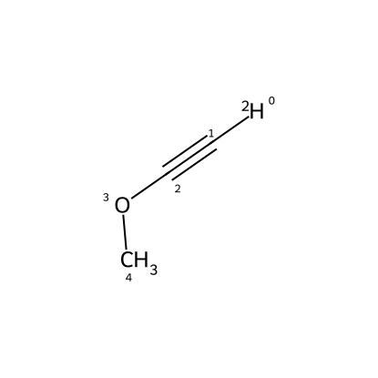 [2H]C#COC